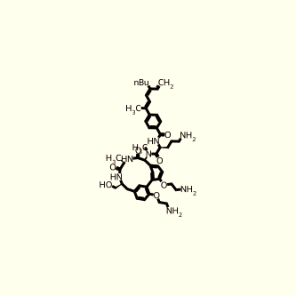 C=C/C(=C\C=C(/C)c1ccc(C(=O)N[C@@H](CCCN)C(=O)N(C)[C@@H]2C(=O)N[C@@H](C)C(=O)N[C@H](CO)Cc3ccc(OCCN)c(c3)-c3cc2ccc3OCCN)cc1)CCCC